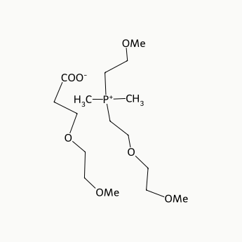 COCCOCCC(=O)[O-].COCCOCC[P+](C)(C)CCOC